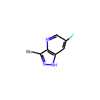 CC(C)(C)c1n[nH]c2cc(F)cnc12